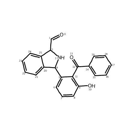 O=CC1NC(c2cccc(O)c2C(=O)c2ccccc2)c2ccccc21